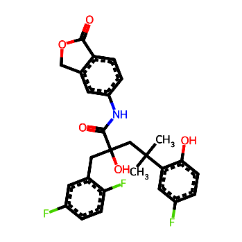 CC(C)(CC(O)(Cc1cc(F)ccc1F)C(=O)Nc1ccc2c(c1)COC2=O)c1cc(F)ccc1O